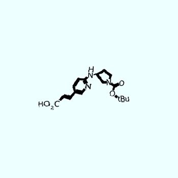 CC(C)(C)OC(=O)N1CC[C@@H](Nc2ccc(/C=C/C(=O)O)cn2)C1